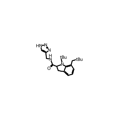 CC(C)(C)Cc1cccc2c1N(C(C)(C)C)C(C(=O)NCc1c[nH]nn1)C2